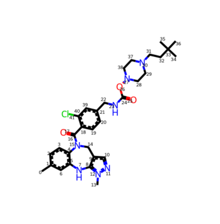 Cc1ccc2c(c1)Nc1c(cnn1C)CN2C(=O)c1ccc(CNC(=O)ON2CCN(CCC(C)(C)C)CC2)cc1Cl